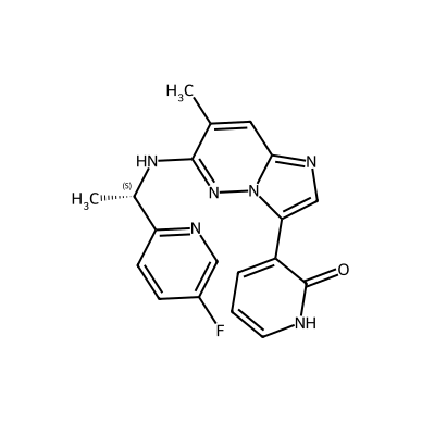 Cc1cc2ncc(-c3ccc[nH]c3=O)n2nc1N[C@@H](C)c1ccc(F)cn1